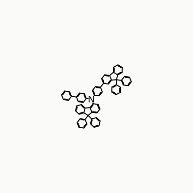 c1ccc(-c2ccc(N(c3ccc(-c4ccc5c(c4)C(c4ccccc4)(c4ccccc4)c4ccccc4-5)cc3)c3cccc4c3-c3ccccc3C4(c3ccccc3)c3ccccc3)cc2)cc1